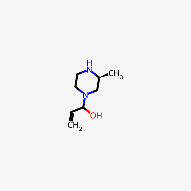 C=CC(O)N1CCN[C@@H](C)C1